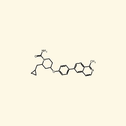 Cc1nccc2cc(-c3ccc(OC4CCN(C(N)=O)C(CC5CC5)C4)cc3)ccc12